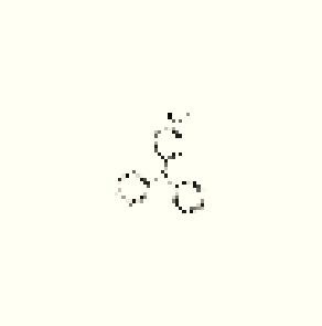 [Cu+].c1ccc(P(c2ccccc2)c2ccccc2)cc1